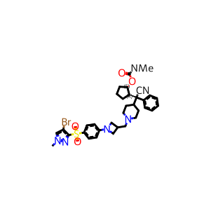 CNC(=O)O[C@H]1CCC[C@@H]1C(C#N)(c1ccccc1)C1CCN(CC2CN(c3ccc(S(=O)(=O)c4nn(C)cc4Br)cc3)C2)CC1